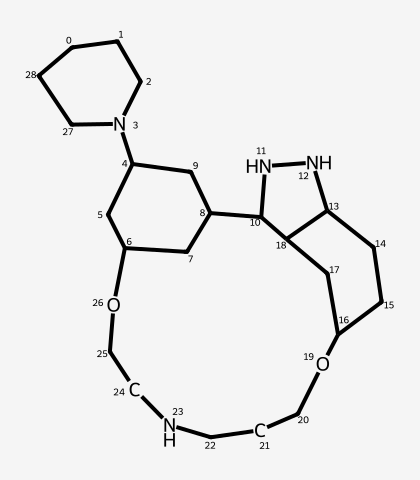 C1CCN(C2CC3CC(C2)C2NNC4CCC(CC42)OCCCNCCO3)CC1